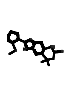 CSc1ccccc1-c1nc2cc3c(cc2[nH]1)C(C)(C)CC(=O)N3